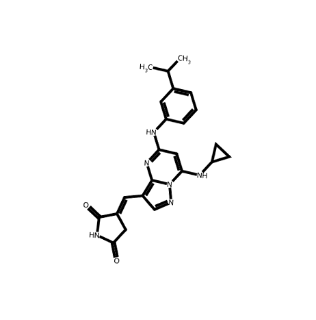 CC(C)c1cccc(Nc2cc(NC3CC3)n3ncc(C=C4CC(=O)NC4=O)c3n2)c1